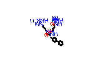 N=C(N)NCCCCNC(=O)[C@@H](Cc1ccc(-c2ccccc2)cc1)NC(=O)CCCC(=O)Nc1nnn[nH]1